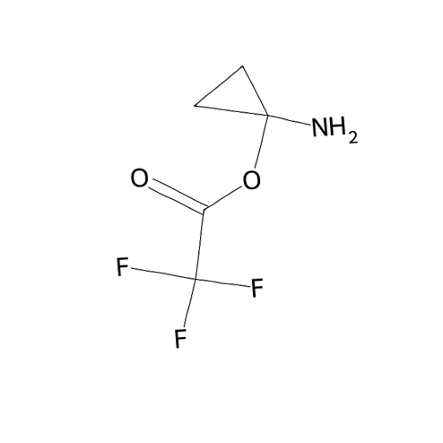 NC1(OC(=O)C(F)(F)F)CC1